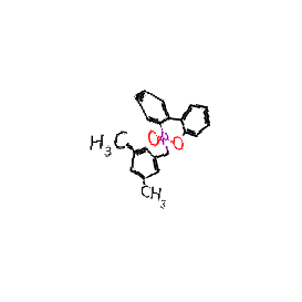 Cc1cc(C)cc(CP2(=O)Oc3ccccc3-c3ccccc32)c1